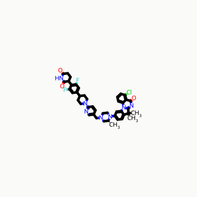 C[C@@H]1CN(Cc2ccc(N3CCC(c4cc(F)c(C5CCC(=O)NC5=O)c(F)c4)CC3)nc2)CCN1c1ccc2c(c1)-n1c(nc(=O)c3c(Cl)cccc31)C2(C)C